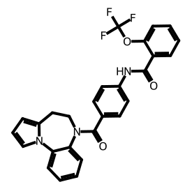 O=C(Nc1ccc(C(=O)N2CCc3cccn3-c3ccccc32)cc1)c1ccccc1OC(F)(F)F